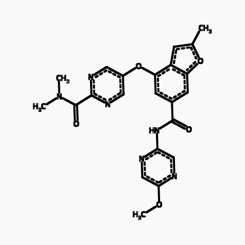 COc1cnc(NC(=O)c2cc(Oc3cnc(C(=O)N(C)C)nc3)c3cc(C)oc3c2)cn1